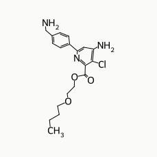 CCCCOCCOC(=O)c1nc(-c2ccc(CN)cc2)cc(N)c1Cl